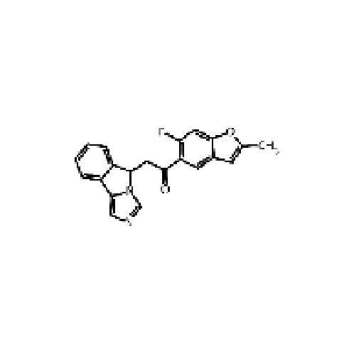 Cc1cc2cc(C(=O)CC3c4ccccc4-c4cncn43)c(F)cc2o1